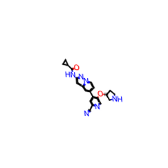 N#Cc1cc(-c2ccn3nc(NC(=O)C4CC4)cc3c2)c(O[C@H]2CCNC2)cn1